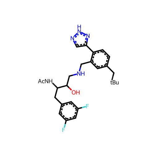 CC(=O)NC(Cc1cc(F)cc(F)c1)C(O)CNCc1cc(CC(C)(C)C)ccc1-c1cn[nH]n1